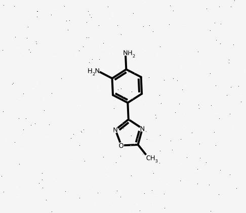 Cc1nc(-c2ccc(N)c(N)c2)no1